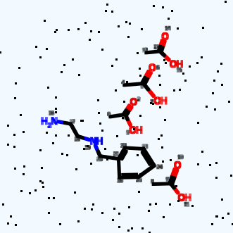 CC(=O)O.CC(=O)O.CC(=O)O.CC(=O)O.NCCNCc1ccccc1